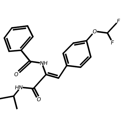 CC(C)NC(=O)C(=Cc1ccc(OC(F)F)cc1)NC(=O)c1ccccc1